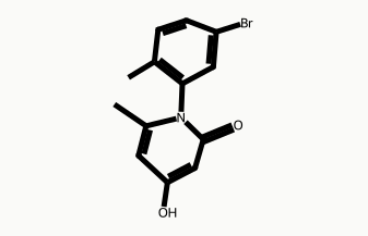 Cc1ccc(Br)cc1-n1c(C)cc(O)cc1=O